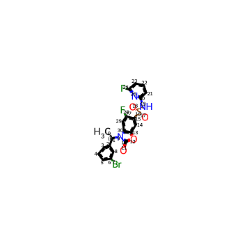 C[C@H](c1cccc(Br)c1)n1c(=O)oc2cc(S(=O)(=O)Nc3cccc(F)n3)c(F)cc21